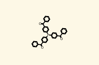 O=C(c1ccccc1)c1ccc(P(c2ccc(C(=O)c3ccccc3)cc2)c2ccc(C(=O)c3ccccc3)cc2)cc1